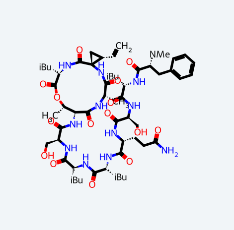 C=C[C@H]1C[C@]12NC(=O)[C@H](C)NC(=O)[C@H](NC(=O)[C@H](CO)NC(=O)[C@@H](NC(=O)[C@H](NC(=O)[C@@H](CCC(N)=O)NC(=O)[C@H](CO)NC(=O)[C@@H](NC(=O)[C@@H](Cc1ccccc1)NC)[C@@H](C)CC)[C@@H](C)CC)[C@@H](C)CC)[C@H](C)OC(=O)[C@H]([C@@H](C)CC)NC2=O